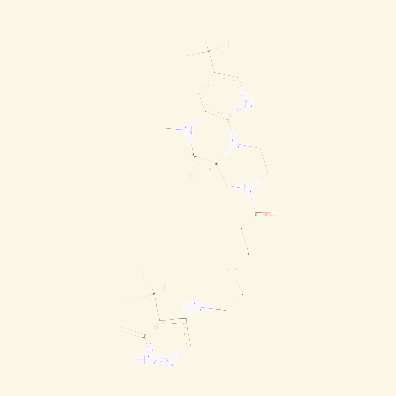 C[C@@H](COCCC(=O)N1CCN2c3ncc(C(F)(F)F)cc3N(C)C(=O)[C@@]2(S)C1)Nc1cn[nH]c(=O)c1C(F)(F)F